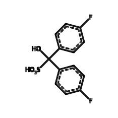 O=S(=O)(O)C(O)(c1ccc(F)cc1)c1ccc(F)cc1